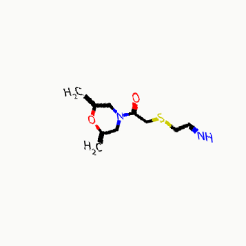 C=C1CN(C(=O)CSCC=N)CC(=C)O1